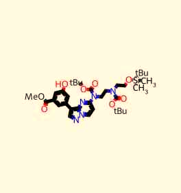 COC(=O)c1cc(O)cc(-c2cnn3ccc(N(CCN(CCO[Si](C)(C)C(C)(C)C)C(=O)OC(C)(C)C)C(=O)OC(C)(C)C)nc23)c1